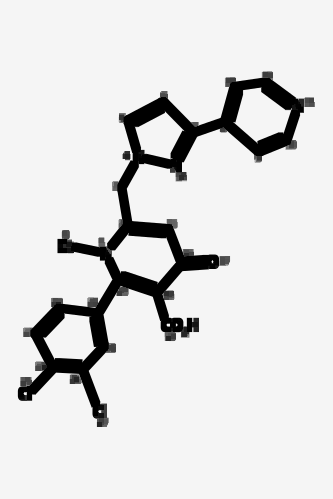 CCn1c(Cn2ccc(-c3ccncc3)n2)cc(=O)c(C(=O)O)c1-c1ccc(Cl)c(Cl)c1